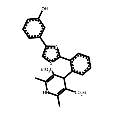 CCOC(=O)C1=C(C)NC(C)=C(C(=O)OCC)C1c1ccccc1-c1nc(-c2cccc(O)c2)cs1